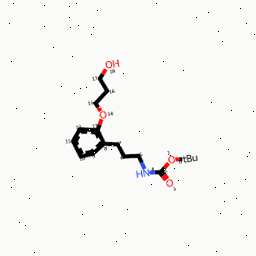 CC(C)(C)OC(=O)NCCCc1ccccc1OCCCO